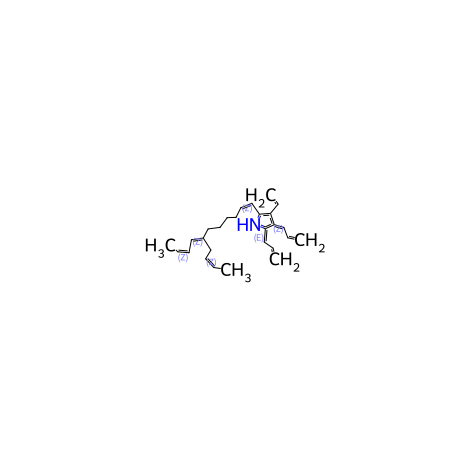 C=C/C=c1/c(C=C)c(/C=C\CCCC/C(=C/C=C\C)C/C=C\C)[nH]/c1=C/C=C